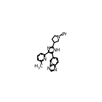 Cc1cccc(-c2nc(C3CCN(C(C)C)C3)[nH]c2-c2ccc3ncnn3c2)n1